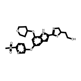 CS(=O)(=O)c1ccc(Oc2cc(OC3CCOCC3)c3[nH]c(C4=NCC(CCO)S4)cc3c2)cn1